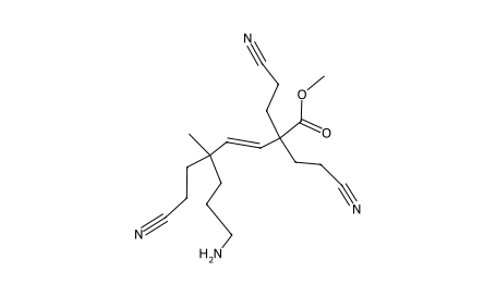 COC(=O)C(/C=C/C(C)(CCC#N)CCCN)(CCC#N)CCC#N